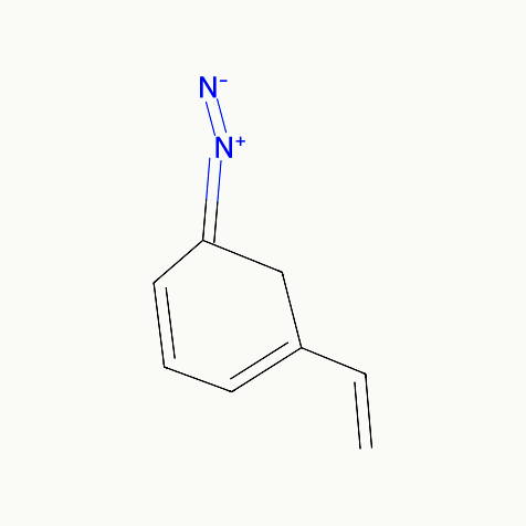 C=CC1=CC=CC(=[N+]=[N-])C1